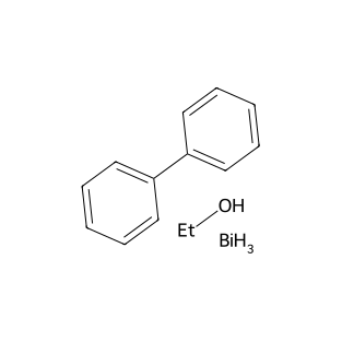 CCO.[BiH3].c1ccc(-c2ccccc2)cc1